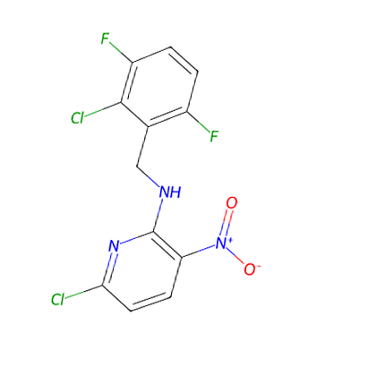 O=[N+]([O-])c1ccc(Cl)nc1NCc1c(F)ccc(F)c1Cl